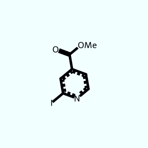 COC(=O)c1ccnc(I)c1